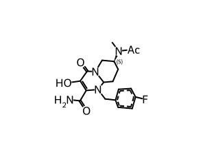 CC(=O)N(C)[C@H]1CCC2N(C1)C(=O)C(O)=C(C(N)=O)N2Cc1ccc(F)cc1